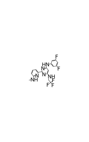 CNc1cccc(-c2nc(NCC(F)(F)F)cc(Nc3cc(F)cc(F)c3)n2)n1